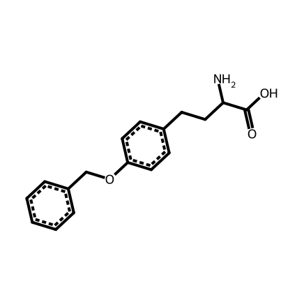 NC(CCc1ccc(OCc2ccccc2)cc1)C(=O)O